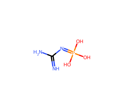 N=C(N)N=P(O)(O)O